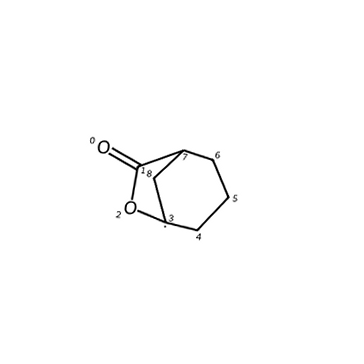 O=C1O[C]2CCCC1C2